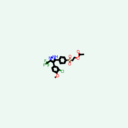 COc1ccc(-c2c(C(F)(F)F)n[nH]c2-c2ccc(S(=O)(=O)CCOC(C)=O)cc2)cc1Cl